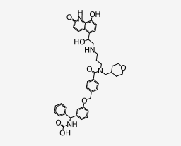 O=C(O)N[C@@H](c1ccccc1)c1cccc(OCc2ccc(C(=O)N(CCCNCC(O)c3ccc(O)c4[nH]c(=O)ccc34)CC3CCOCC3)cc2)c1